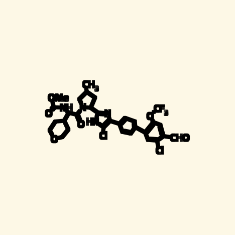 COC(=O)NC(C(=O)N1CC(C)CC1c1nc(-c2ccc(-c3cc(Cl)c(C=O)cc3OC(F)(F)F)cc2)c(Cl)[nH]1)C1CCOCC1